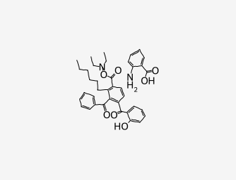 CCCCCCc1c(C(=O)ON(CC)CC)ccc(C(=O)c2ccccc2O)c1C(=O)c1ccccc1.Nc1ccccc1C(=O)O